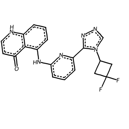 O=c1cc[nH]c2cccc(Nc3cccc(-c4nncn4C4CC(F)(F)C4)n3)c12